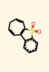 O=S1(=O)C2=C(C=CCC=C2)c2ccccc21